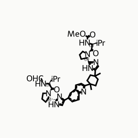 COC(=O)N[C@H](C(=O)N1CCC[C@H]1c1ncc(C2(C)CCC(C)(c3ccc4cc(-c5c[nH]c([C@@H]6CCCN6C(=O)[C@@H](NC=O)C(C)C)n5)ccc4n3)CC2)[nH]1)C(C)C